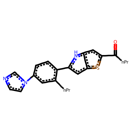 CCCC(=O)c1cc2[nH]c(-c3ccc(-n4ccnc4)cc3CCC)cc2s1